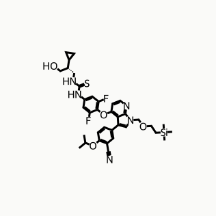 CC(C)Oc1ccc(-c2cn(COCC[Si](C)(C)C)c3nccc(Oc4c(F)cc(NC(=S)NC[C@H](CO)C5CC5)cc4F)c23)cc1C#N